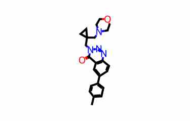 Cc1ccc(-c2ccc3nnn(CC4(CN5CCOCC5)CC4)c(=O)c3c2)cc1